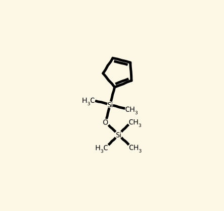 C[Si](C)(C)O[Si](C)(C)C1=CC=CC1